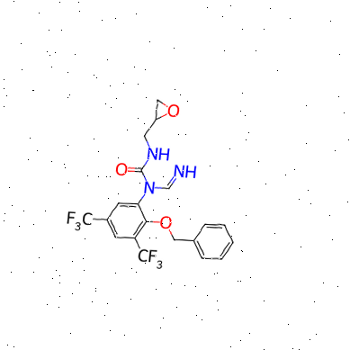 N=CN(C(=O)NCC1CO1)c1cc(C(F)(F)F)cc(C(F)(F)F)c1OCc1ccccc1